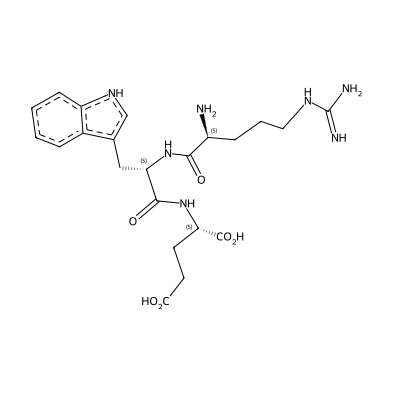 N=C(N)NCCC[C@H](N)C(=O)N[C@@H](Cc1c[nH]c2ccccc12)C(=O)N[C@@H](CCC(=O)O)C(=O)O